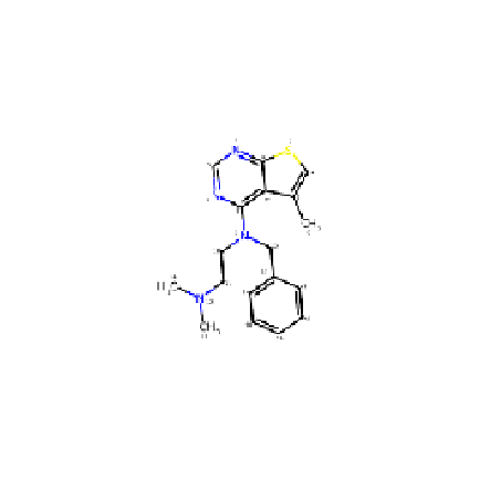 Cc1csc2ncnc(N(CCN(C)C)Cc3ccccc3)c12